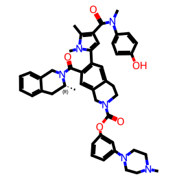 Cc1c(C(=O)N(C)c2ccc(O)cc2)cc(-c2cc3c(cc2C(=O)N2Cc4ccccc4C[C@H]2C)CN(C(=O)Oc2cccc(N4CCN(C)CC4)c2)CC3)n1C